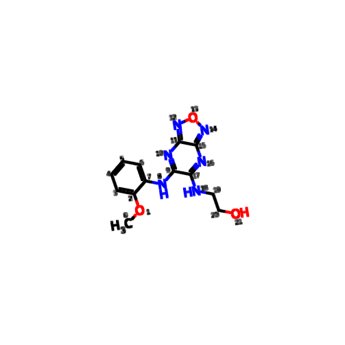 COc1ccccc1Nc1nc2nonc2nc1NCCO